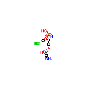 Cl.Cl.Nc1ccc([C@@H](O)CNCCOc2ccc(-c3ccc(C(=O)NS(=O)(=O)CCCO)c(OC4CCCCC4)c3)cc2)cc1